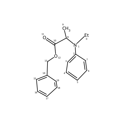 CCN(c1ccccc1)C(C)C(=O)OCc1ccccc1